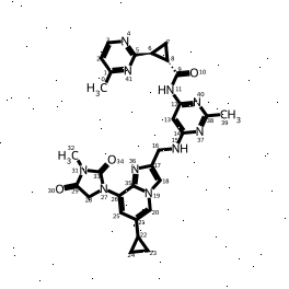 Cc1ccnc([C@H]2C[C@@H]2C(=O)Nc2cc(NCc3cn4cc(C5CC5)cc(N5CC(=O)N(C)C5=O)c4n3)nc(C)n2)n1